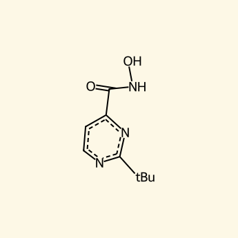 CC(C)(C)c1nccc(C(=O)NO)n1